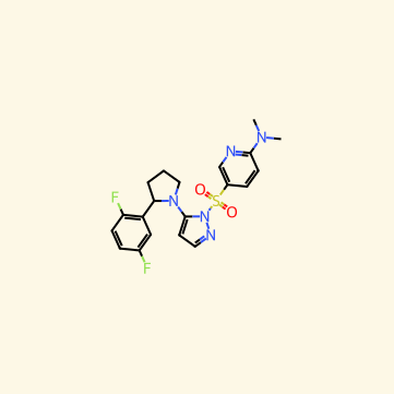 CN(C)c1ccc(S(=O)(=O)n2nccc2N2CCCC2c2cc(F)ccc2F)cn1